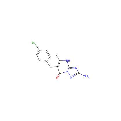 Cc1[nH]c2nc(N)nn2c(=O)c1Cc1ccc(Br)cc1